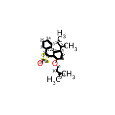 CCC(C)c1ccc(OCCC(C)C)c(-c2sc(=O)sc2-c2ccccc2)c1